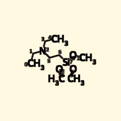 CCN(CC)CC[Si](OC)(OC)OC